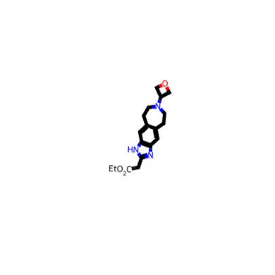 CCOC(=O)Cc1nc2cc3c(cc2[nH]1)CCN(C1COC1)CC3